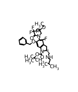 COC(=O)CN(C(=O)C(F)(F)F)c1c(OCc2ccccc2)cc2c(c1F)C[C@@H](CNCC(C)C)N2C(=O)OC(C)(C)C